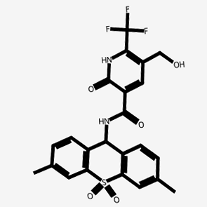 Cc1ccc2c(c1)S(=O)(=O)c1cc(C)ccc1C2NC(=O)c1cc(CO)c(C(F)(F)F)[nH]c1=O